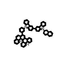 C1=CC2=CCC(n3c4ccccc4c4cc(-c5ccc6c(c5)c5ccccc5n6-c5cccc(C6=C7C=Cc8ccccc8C7[C@H]7C(=C6)c6ccccc6[C@@H]6C=CC=CC76)c5)ccc43)CC2C=C1